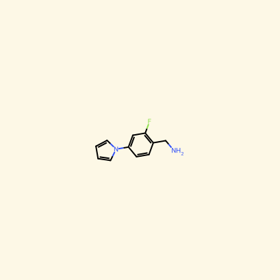 NCc1ccc(-n2cccc2)cc1F